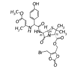 COC(=O)C=C(C)NC(C(=O)N[C@@H]1C(=O)N2[C@@H]1SC(C)(C)[C@@H]2C(=O)OCc1oc(=O)oc1CBr)c1ccc(O)cc1